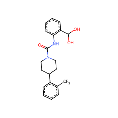 O=C(Nc1ccccc1C(O)O)N1CCC(c2ccccc2C(F)(F)F)CC1